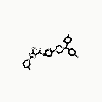 CC1CCCN(c2nc(C(F)(F)F)c(C(=O)Nc3ccc(N4CCN(C(c5ccc(F)cc5)c5ccc(F)cc5)CC4)nc3)o2)C1